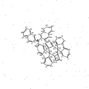 c1ccc2c(c1)-c1ccccc1C21c2ccccc2C2(c3ccccc3-c3ccc(N(c4ccc5ccccc5c4)c4ccc5ccccc5c4)cc32)c2ccccc21